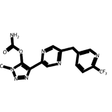 Cn1nnc(-c2cnc(Cc3ccc(C(F)(F)F)nc3)cn2)c1OC(N)=O